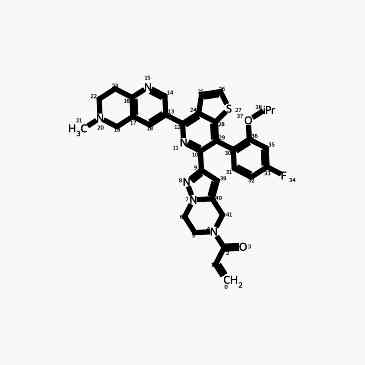 C=CC(=O)N1CCn2nc(-c3nc(-c4cnc5c(c4)CN(C)CC5)c4ccsc4c3-c3ccc(F)cc3OC(C)C)cc2C1